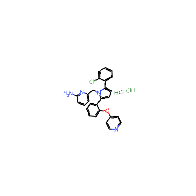 Cl.Cl.Nc1cccc(Cn2c(-c3ccccc3Cl)ccc2-c2ccccc2Oc2ccncc2)n1